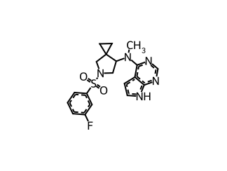 CN(c1ncnc2[nH]ccc12)C1CN(S(=O)(=O)c2cccc(F)c2)CC12CC2